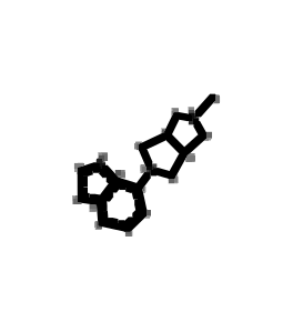 CN1CC2CN(c3cccc4ccsc34)CC2C1